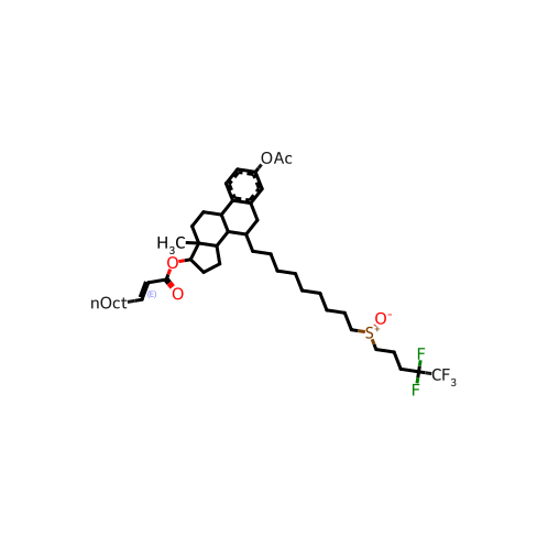 CCCCCCCC/C=C/C(=O)OC1CCC2C3C(CCCCCCCCC[S+]([O-])CCCC(F)(F)C(F)(F)F)Cc4cc(OC(C)=O)ccc4C3CCC12C